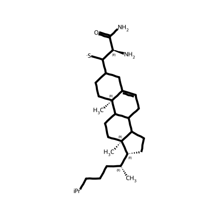 CC(C)CCC[C@@H](C)[C@H]1CCC2C3CC=C4CC(C([S])[C@H](N)C(N)=O)CC[C@]4(C)C3CC[C@@]21C